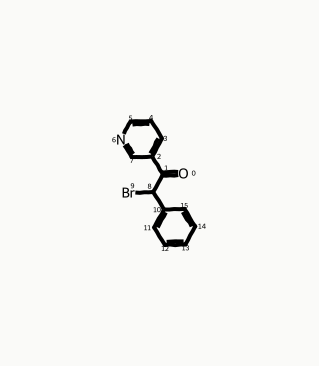 O=C(c1cccnc1)C(Br)c1ccccc1